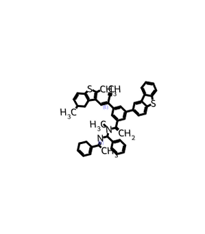 C#C/C(=C\c1c(C)sc2c1CC(C)C=C2)c1cc(C(=C)N(C)C(/N=C(\C)C2=CC=CCC2)c2ccccc2)cc(-c2ccc3sc4ccccc4c3c2)c1